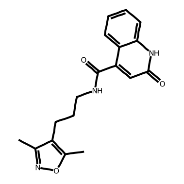 Cc1noc(C)c1CCCNC(=O)c1cc(=O)[nH]c2ccccc12